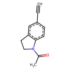 C#Cc1ccc2c(c1)CCN2C(C)=O